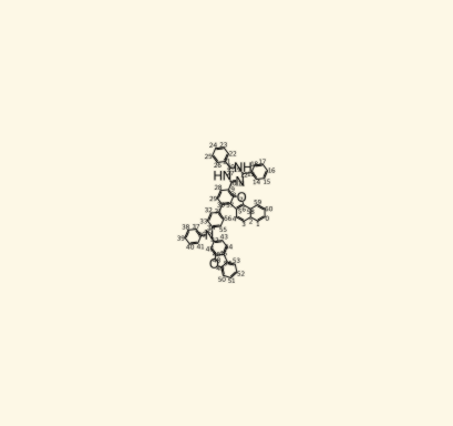 C1=CC2C=Cc3c(oc4c(C5=NC(c6ccccc6)NC(c6ccccc6)N5)ccc(-c5ccc(N(c6ccccc6)c6ccc7c(c6)oc6ccccc67)cc5)c34)C2C=C1